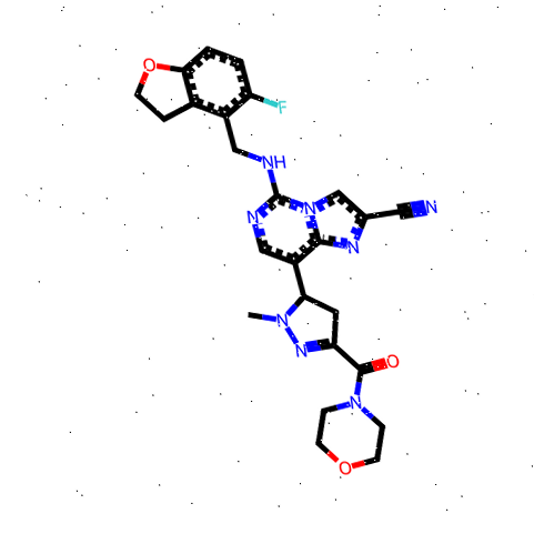 CN1N=C(C(=O)N2CCOCC2)CC1c1cnc(NCc2c(F)ccc3c2CCO3)n2cc(C#N)nc12